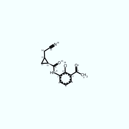 CC(=O)c1cccc(NC(=O)[C@H]2CC2CC#N)c1Cl